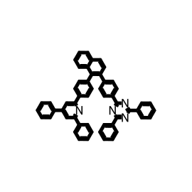 c1ccc(-c2cc(-c3ccccc3)nc(-c3ccc(-c4c(-c5ccc(-c6nc(-c7ccccc7)nc(-c7ccccc7)n6)cc5)ccc5ccccc45)cc3)c2)cc1